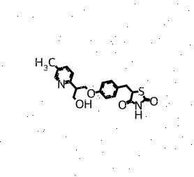 Cc1ccc(C(CO)COc2ccc(CC3SC(=O)NC3=O)cc2)nc1